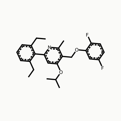 CCc1cccc(CC)c1-c1cc(OC(C)C)c(COc2cc(F)ccc2F)c(C)n1